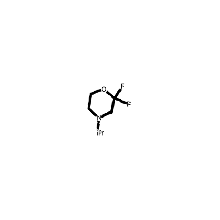 CC(C)N1CCOC(F)(F)C1